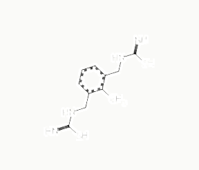 Cc1c(CNC(=N)S)cccc1CNC(=N)S